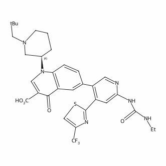 CCNC(=O)Nc1cc(-c2nc(C(F)(F)F)cs2)c(-c2ccc3c(c2)c(=O)c(C(=O)O)cn3[C@@H]2CCCN(CC(C)(C)C)C2)cn1